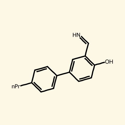 CCCc1ccc(-c2ccc(O)c(C=N)c2)cc1